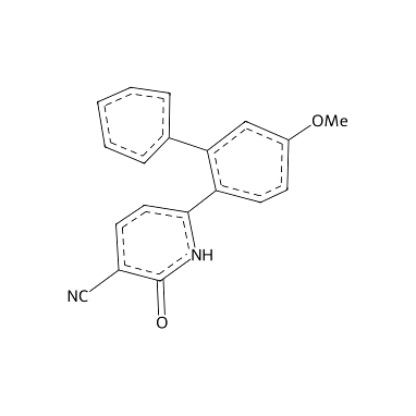 COc1ccc(-c2ccc(C#N)c(=O)[nH]2)c(-c2ccccc2)c1